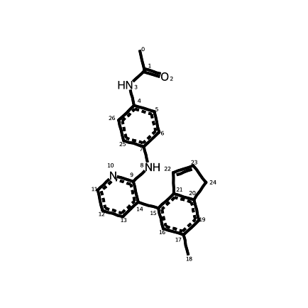 CC(=O)Nc1ccc(Nc2ncccc2-c2cc(C)cc3c2C=CC3)cc1